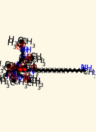 CC(N)CCCCCCCCCCCCCCCCCCCCCC(=O)NCCCCCCC(CN(CCCC(C)(CCCNC(=O)OC(C)(C)C)NC(=O)OC(C)(C)C)C(=O)OC(C)(C)C)C(CCCC(C)N)(C(=O)OC(C)(C)C)N(CCCNC(=O)OC(C)(C)C)C(=O)OC(C)(C)C